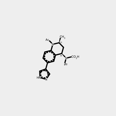 CC(=O)N1c2ccc(-c3cn[nH]c3)cc2[C@H](N(C(=O)O)C(C)C)C[C@@H]1C